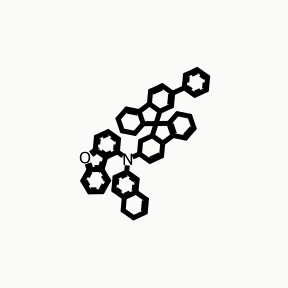 C1=CC2=C(CC1)C1(C3CCCC=C3C3C=CC(c4ccccc4)=CC31)C1CC(N(c3ccc4c(c3)C=CCC4)c3cccc4oc5ccccc5c34)C=CC21